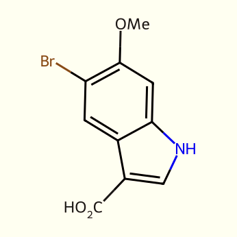 COc1cc2[nH]cc(C(=O)O)c2cc1Br